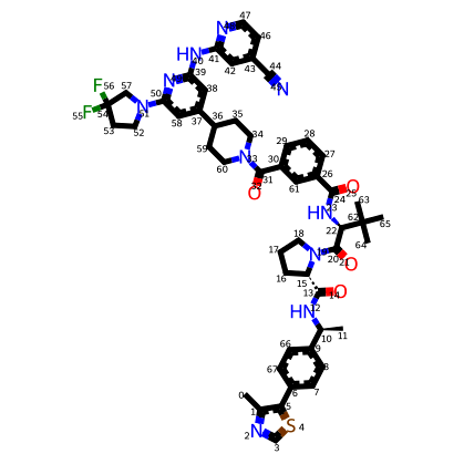 Cc1ncsc1-c1ccc([C@H](C)NC(=O)[C@@H]2CCCN2C(=O)[C@@H](NC(=O)c2cccc(C(=O)N3CCC(c4cc(Nc5cc(C#N)ccn5)nc(N5CCC(F)(F)C5)c4)CC3)c2)C(C)(C)C)cc1